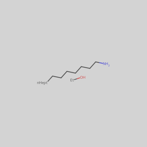 CCCCCCCCCCCCCCN.CCO